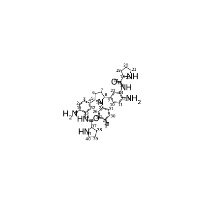 Nc1ccc(C2CCC(c3ccc(N)c(NC(=O)C4CCCN4)c3)N2c2ccc(F)cc2)cc1NC(=O)C1CCCN1